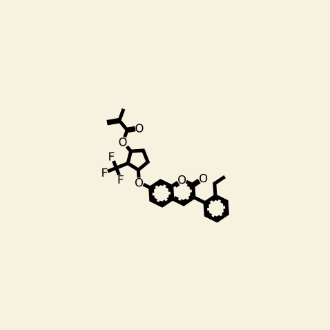 C=C(C)C(=O)OC1CCC(Oc2ccc3cc(-c4ccccc4CC)c(=O)oc3c2)C1C(F)(F)F